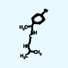 CC(C)NCCNC(C)c1ccc(Br)cc1